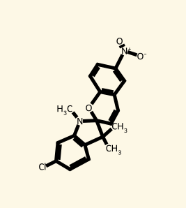 CN1c2cc(Cl)ccc2C(C)(C)C12C=Cc1cc([N+](=O)[O-])ccc1O2